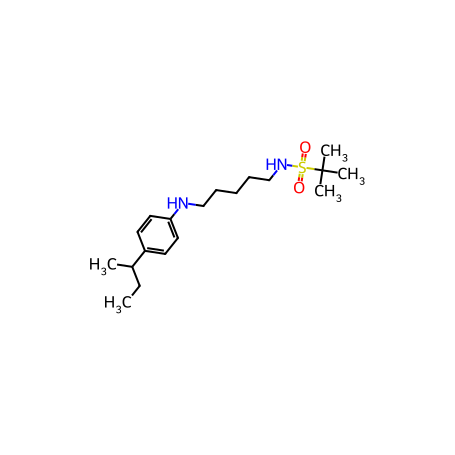 CCC(C)c1ccc(NCCCCCNS(=O)(=O)C(C)(C)C)cc1